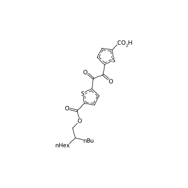 CCCCCCC(CCCC)COC(=O)c1ccc(C(=O)C(=O)c2ccc(C(=O)O)s2)s1